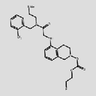 CNCCN(Cc1ccccc1C(F)(F)F)C(=O)CNc1cccc2c1CCN(OC(=O)OCCF)C2